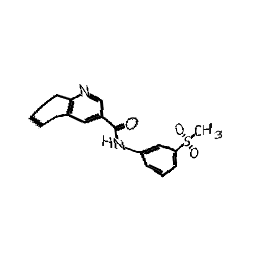 CS(=O)(=O)c1cccc(NC(=O)c2cnc3c(c2)CCC3)c1